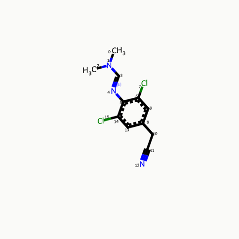 CN(C)/C=N/c1c(Cl)cc(CC#N)cc1Cl